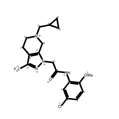 COc1ccc(Cl)cc1NC(=O)Cn1nc(C(F)(F)F)c2c1CN(CC1CC1)CC2